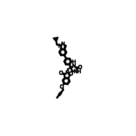 CC#CCOc1ccc2c(c1)C(=O)N(C[C@@]1(c3ccc(-c4ccc5c(cnn5CC5CC5)c4)cc3)NC(=O)NC1=O)C2